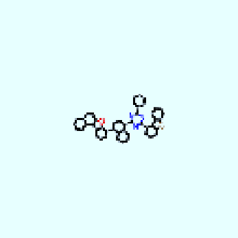 c1ccc(-c2nc(-c3ccc(-c4cccc5c4oc4ccc6ccccc6c45)c4ccccc34)nc(-c3cccc4sc5ccccc5c34)n2)cc1